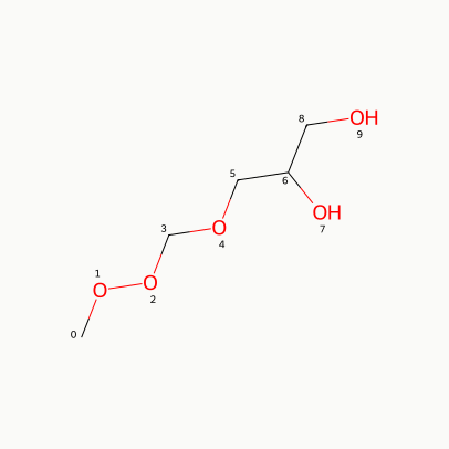 COOCOCC(O)CO